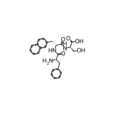 N[C@H](Cc1ccccc1)C(=O)N[C@H](Cc1ccc2ccccc2c1)C(=O)N[C@H](CO)C(=O)O